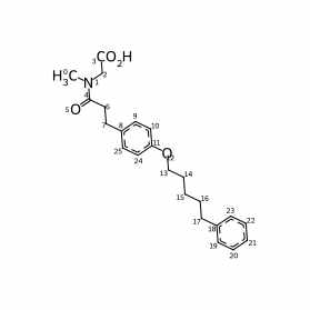 CN(CC(=O)O)C(=O)CCc1ccc(OCCCCCc2ccccc2)cc1